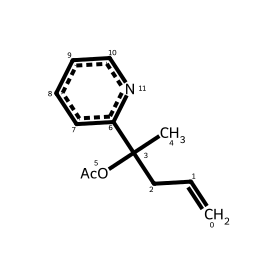 C=CCC(C)(OC(C)=O)c1ccccn1